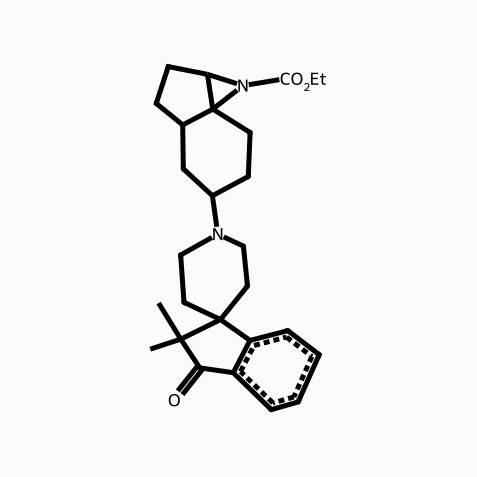 CCOC(=O)N1C2CCC3CC(N4CCC5(CC4)c4ccccc4C(=O)C5(C)C)CCC321